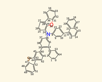 c1ccc(-c2cc(N(c3ccc(-c4cccc5ccccc45)cc3)c3cccc4c3oc3ccccc34)ccc2-c2ccc3c(c2)sc2ccccc23)cc1